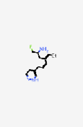 CC/C=C(\C=C/CC1=CNN=CC1)CC(N)CF